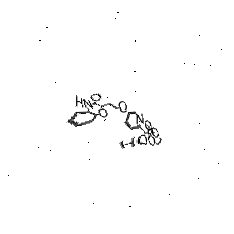 O=C1Nc2ccccc2OC1CCOc1ccc(C(O)P2(=O)OCCO2)nc1